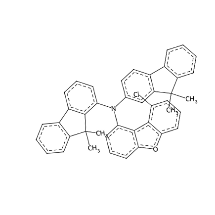 CC1(C)c2ccccc2-c2ccc(N(c3cccc4c3C(C)(C)c3ccccc3-4)c3cccc4oc5cccc(Cl)c5c34)cc21